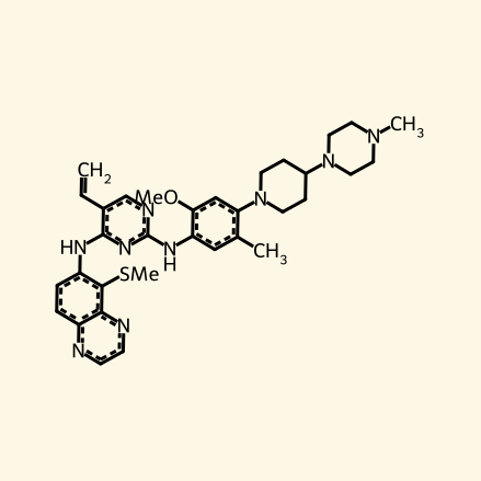 C=Cc1cnc(Nc2cc(C)c(N3CCC(N4CCN(C)CC4)CC3)cc2OC)nc1Nc1ccc2nccnc2c1SC